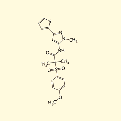 COc1ccc(S(=O)(=O)C(C)(C)C(=O)Nc2cc(-c3cccs3)nn2C)cc1